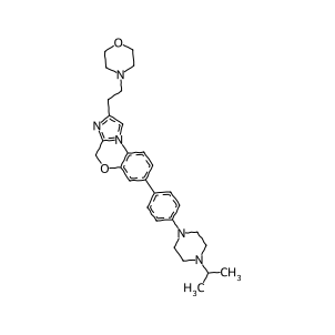 CC(C)N1CCN(c2ccc(-c3ccc4c(c3)OCc3nc(CCN5CCOCC5)cn3-4)cc2)CC1